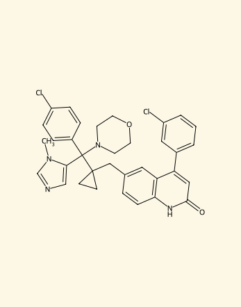 Cn1cncc1C(c1ccc(Cl)cc1)(N1CCOCC1)C1(Cc2ccc3[nH]c(=O)cc(-c4cccc(Cl)c4)c3c2)CC1